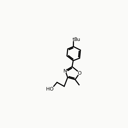 Cc1oc(-c2ccc(C(C)(C)C)cc2)nc1CCO